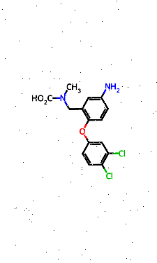 CN(Cc1cc(N)ccc1Oc1ccc(Cl)c(Cl)c1)C(=O)O